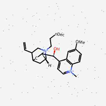 C=CC1C[N+]2(CCCCCCCCCCCC)CCC1C[C@H]2[C@@H](O)c1cc[n+](C)c2ccc(OC)cc12